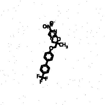 CC1(COc2ccc(-c3ccc(C(F)(F)F)cc3)cc2)Cn2cc([N+](=O)[O-])nc2O1